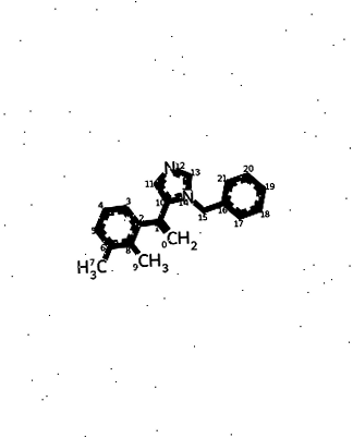 C=C(c1cccc(C)c1C)c1cncn1Cc1ccccc1